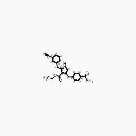 CCOC(=O)c1c(Cc2ccc(C(N)=O)cc2)c[nH]c1Cc1cccc(C#N)c1